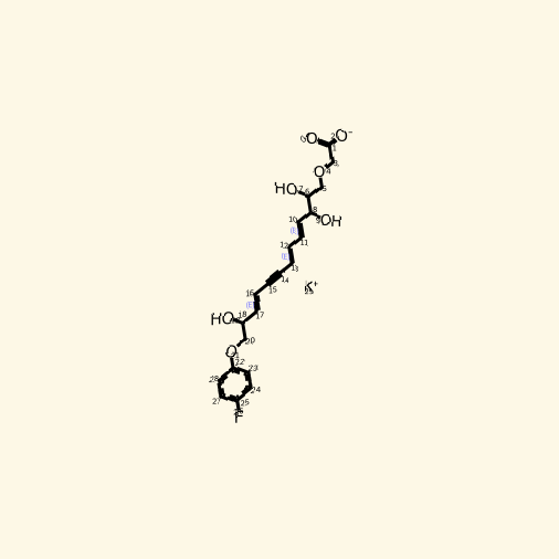 O=C([O-])COCC(O)C(O)/C=C/C=C/C#C/C=C/C(O)COc1ccc(F)cc1.[K+]